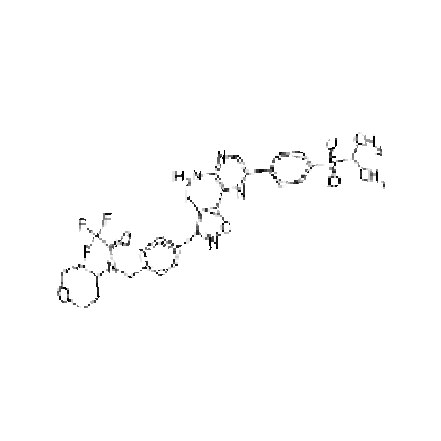 CC(C)S(=O)(=O)c1ccc(-c2cnc(N)c(-c3onc(-c4ccc(CN(C(=O)C(F)(F)F)C5CCOCC5)cc4)c3I)n2)cc1